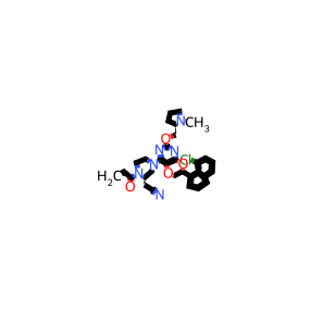 C=CC(=O)N1CCN(c2nc(OC[C@@H]3CCCN3C)nc3c2OCC(c2cccc4cccc(Cl)c24)O3)C[C@@H]1CC#N